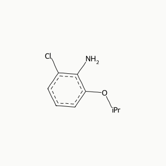 CC(C)Oc1cccc(Cl)c1N